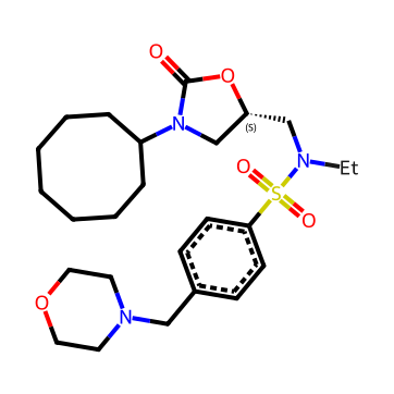 CCN(C[C@@H]1CN(C2CCCCCCC2)C(=O)O1)S(=O)(=O)c1ccc(CN2CCOCC2)cc1